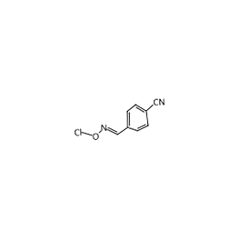 N#Cc1ccc(C=NOCl)cc1